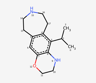 CC(C)c1c2c(cc3c1NCCO3)CCNCC2